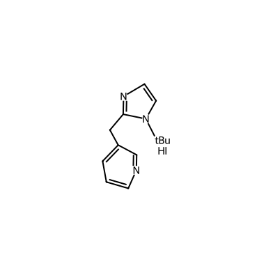 CC(C)(C)n1ccnc1Cc1cccnc1.I